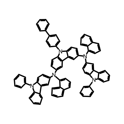 c1ccc(-c2ccc(-n3c4ccc(N(c5ccc6c(c5)c5ccccc5n6-c5ccccc5)c5cccc6ccccc56)cc4c4cc(N(c5ccc6c(c5)c5ccccc5n6-c5ccccc5)c5cccc6ccccc56)ccc43)cc2)cc1